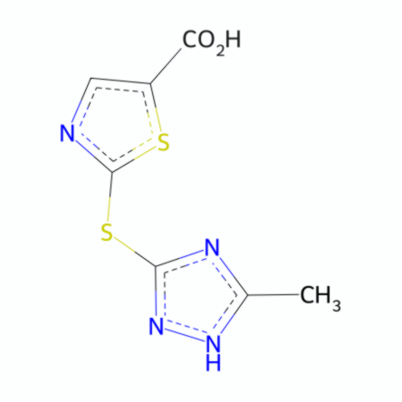 Cc1nc(Sc2ncc(C(=O)O)s2)n[nH]1